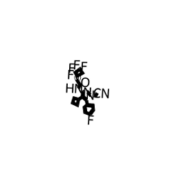 N#CCn1nc(NC(=O)C[C@H]2CC(F)(F)C2(F)F)c(C2CCC2)c1-c1ccc(F)cc1